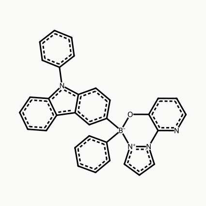 c1ccc(-n2c3ccccc3c3cc([B-]4(c5ccccc5)Oc5cccnc5-n5ccc[n+]54)ccc32)cc1